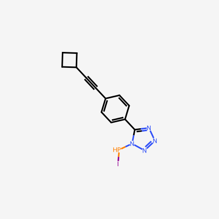 IPn1nnnc1-c1ccc(C#CC2CCC2)cc1